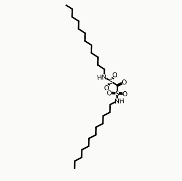 CCCCCCCCCCCCNS(=O)(=O)C(=O)S(=O)(=O)NCCCCCCCCCCCC